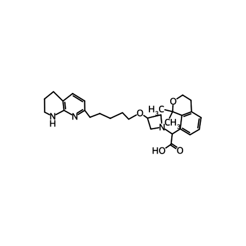 CC1(C)OCCc2cccc(C(C(=O)O)N3CC(OCCCCCc4ccc5c(n4)NCCC5)C3)c21